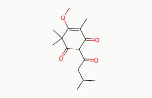 COC1=C(C)C(=O)C(C(=O)CC(C)C)C(=O)C1(C)C